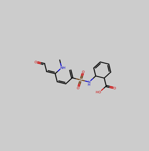 C=C(/C=C\C(=C\C=O)NC)S(=O)(=O)NC1C=CC=CC1C(=O)O